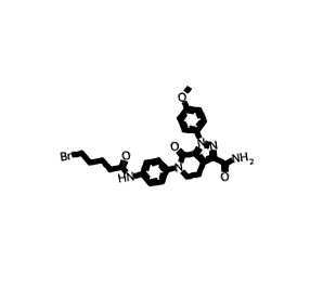 COc1ccc(-n2nc(C(N)=O)c3c2C(=O)N(c2ccc(NC(=O)CCCCBr)cc2)CC3)cc1